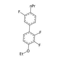 CCCc1ccc(-c2ccc(OCC)c(F)c2F)cc1F